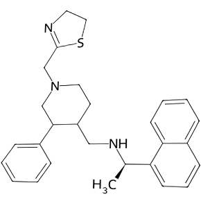 C[C@@H](NCC1CCN(CC2=NCCS2)CC1c1ccccc1)c1cccc2ccccc12